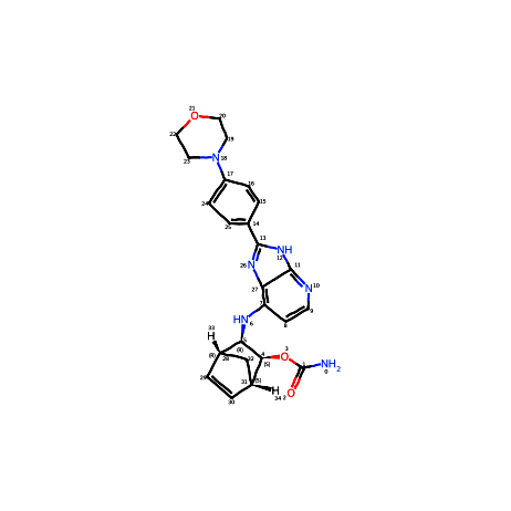 NC(=O)O[C@@H]1[C@H](Nc2ccnc3[nH]c(-c4ccc(N5CCOCC5)cc4)nc23)[C@H]2C=C[C@@H]1C2